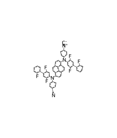 [C-]#[N+]c1ccc(N(c2cc(F)c(-c3ccccc3F)cc2F)c2ccc3ccc4c(N(c5ccc(C#N)cc5)c5cc(F)c(-c6ccccc6F)cc5F)ccc5ccc2c3c54)cc1